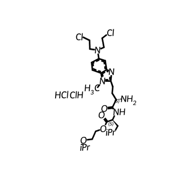 CC(C)C[C@H](NC(=O)[C@@H](N)CCc1nc2cc(N(CCCl)CCCl)ccc2n1C)C(=O)OCCOC(C)C.Cl.Cl